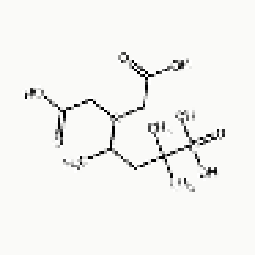 CC(CC(C)(C)P(=O)(O)O)N(CC(=O)O)CC(=O)O